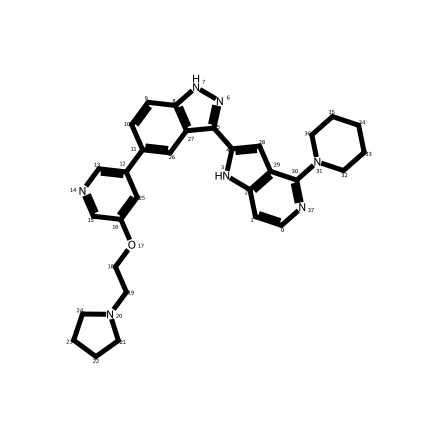 c1cc2[nH]c(-c3n[nH]c4ccc(-c5cncc(OCCN6CCCC6)c5)cc34)cc2c(N2CCCCC2)n1